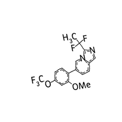 COc1cc(OC(F)(F)F)ccc1-c1ccc2cnc(C(C)(F)F)n2c1